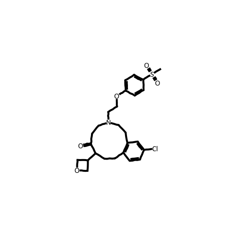 CS(=O)(=O)c1ccc(OCCN2CCC(=O)C(C3COC3)CCc3ccc(Cl)cc3CC2)cc1